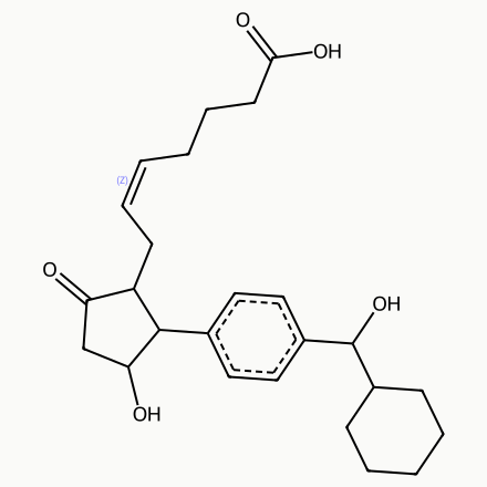 O=C(O)CCC/C=C\CC1C(=O)CC(O)C1c1ccc(C(O)C2CCCCC2)cc1